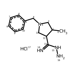 CC1CN(Cc2ccccc2)CC1C(=N)NN.Cl